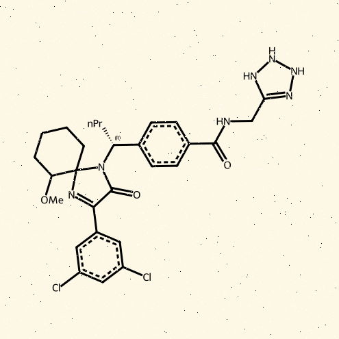 CCC[C@H](c1ccc(C(=O)NCC2=NNNN2)cc1)N1C(=O)C(c2cc(Cl)cc(Cl)c2)=NC12CCCCC2OC